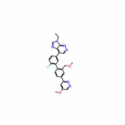 CCn1cnc2c(-c3ccc(F)c(-c4ccc(-c5cc(OC)cnn5)cc4COC)c3)cnnc21